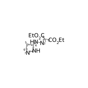 CCOC(=O)C(=NNc1ccn[nH]1)C(=O)OCC